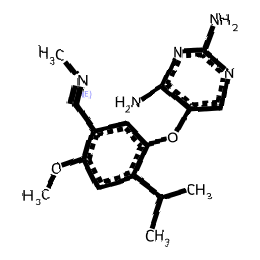 C/N=C/c1cc(Oc2cnc(N)nc2N)c(C(C)C)cc1OC